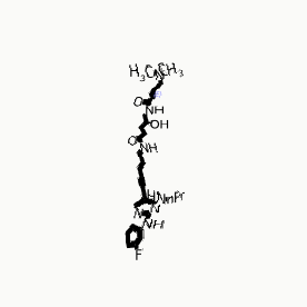 CCCNc1nc(Nc2cccc(F)c2)ncc1C#CCCCNC(=O)CC[C@@H](O)CNC(=O)/C=C/CN(C)C